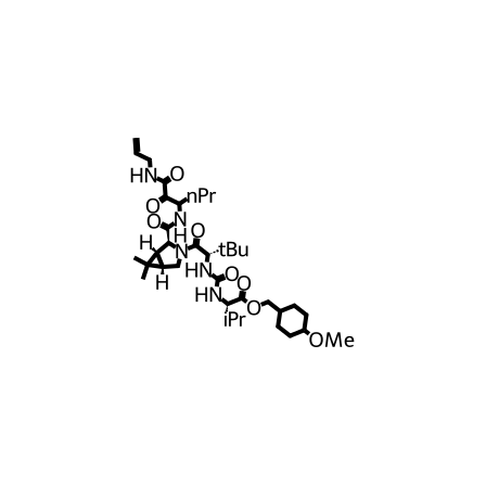 C=CCNC(=O)C(=O)C(CCC)NC(=O)[C@@H]1[C@@H]2[C@H](CN1C(=O)[C@@H](NC(=O)N[C@H](C(=O)OCC1CCC(OC)CC1)C(C)C)C(C)(C)C)C2(C)C